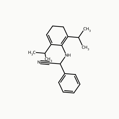 CC(C)C1=CCCC(C(C)C)=C1NC(C#N)c1ccccc1